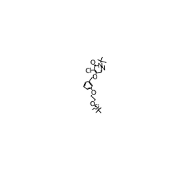 CC(C)(C)n1ncc(OCc2cccc(OCCO[Si](C)(C)C(C)(C)C)c2)c(Cl)c1=O